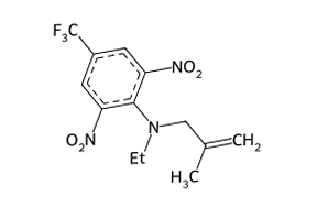 C=C(C)CN(CC)c1c([N+](=O)[O-])cc(C(F)(F)F)cc1[N+](=O)[O-]